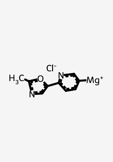 Cc1ncc(-c2cc[c]([Mg+])cn2)o1.[Cl-]